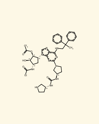 CCC(=O)N[C@H]1C[C@@H](n2cnc3c(NCC(C)(c4ccccc4)c4ccccc4)nc(N4CC[C@@H](NC(=O)N[C@@H]5CCNC5)C4)nc32)[C@H](OC(=O)C(F)(F)F)[C@@H]1O